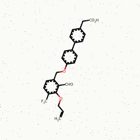 C=CCOc1c(C(F)(F)F)ccc(COc2ccc(-c3ccc(CC(=O)O)cc3)cc2)c1C=O